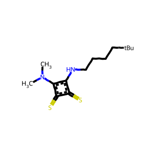 CN(C)c1c(NCCCCC(C)(C)C)c(=S)c1=S